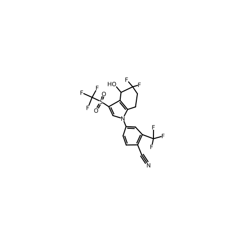 N#Cc1ccc(-n2cc(S(=O)(=O)C(F)(F)F)c3c2CCC(F)(F)C3O)cc1C(F)(F)F